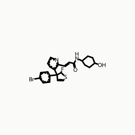 O=C(C=Cc1ncccc1C1(c2ccc(Br)cc2)C=CSC1F)NC1CCC(O)CC1